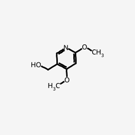 COc1cc(OC)c(CO)cn1